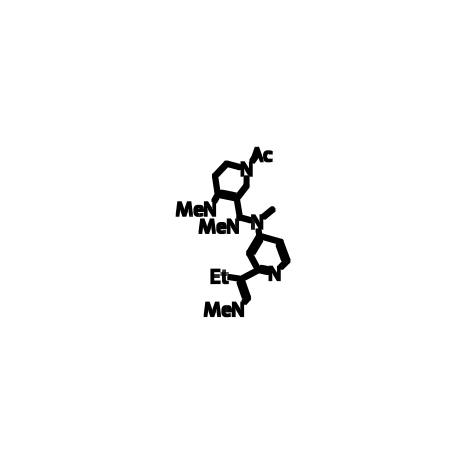 CC/C(=C\NC)c1cc(N(C)C(NC)C2=C(NC)CCN(C(C)=O)C2)ccn1